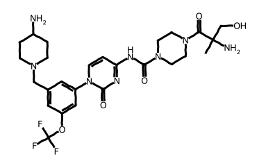 CC(N)(CO)C(=O)N1CCN(C(=O)Nc2ccn(-c3cc(CN4CCC(N)CC4)cc(OC(F)(F)F)c3)c(=O)n2)CC1